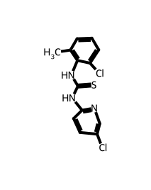 Cc1cccc(Cl)c1NC(=S)Nc1ccc(Cl)cn1